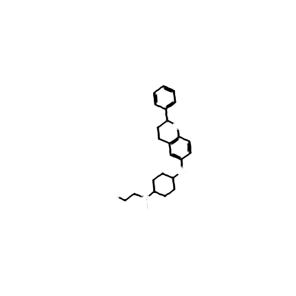 OCCNC1CCC(Oc2ccc3c(c2)CCC(c2ccccc2)O3)CC1